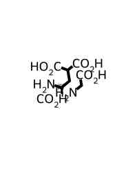 NCC(=O)O.N[C@@H](CC(C(=O)O)C(=O)O)C(=O)O